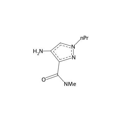 CCCn1cc(N)c(C(=O)NC)n1